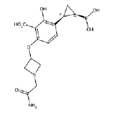 NC(=O)CN1CC(Oc2ccc([C@H]3C[C@H]3B(O)O)c(O)c2C(=O)O)C1